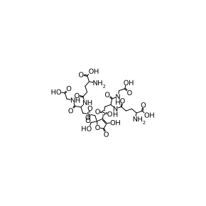 NC(CCC(=O)NC(CS(=O)(=O)CC1(C(=O)O)OC(=O)C(O)=C1S(=O)(=O)CC(NC(=O)CCC(N)C(=O)O)C(=O)NCC(=O)O)C(=O)NCC(=O)O)C(=O)O